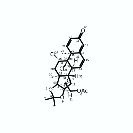 CC(=O)OCC(=O)[C@@]12OC(C)(C)O[C@@H]1C[C@H]1[C@@H]3C=CC4=CC(=O)C=C[C@]4(C)[C@@]3(Cl)[C@@H](Cl)C[C@@]12C